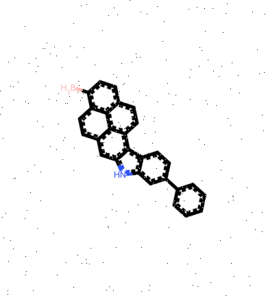 Bc1ccc2ccc3c4c(cc5ccc1c2c53)[nH]c1cc(-c2ccccc2)ccc14